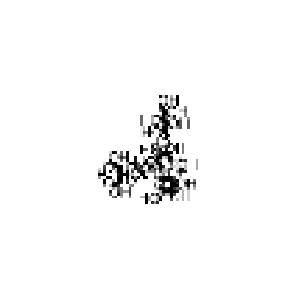 CC(=O)O.O=C(O)CC(O)(CC(=O)O)C(=O)O.OC[C@@H](O)[C@@H](O)[C@H](O)[C@@H](O)CO.OC[C@H]1O[C@H](O[C@H]2O[C@H](CO)[C@@H](O)[C@H](O)[C@H]2O)[C@H](O)[C@@H](O)[C@@H]1O